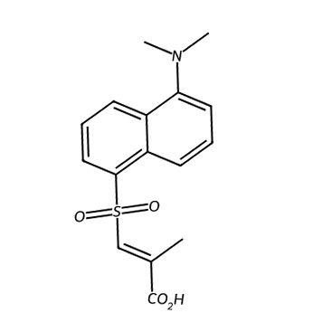 CC(=CS(=O)(=O)c1cccc2c(N(C)C)cccc12)C(=O)O